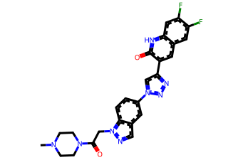 CN1CCN(C(=O)Cn2ncc3cc(-n4cc(-c5cc6cc(F)c(F)cc6[nH]c5=O)nn4)ccc32)CC1